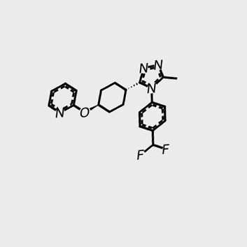 Cc1nnc([C@H]2CC[C@H](Oc3ccccn3)CC2)n1-c1ccc(C(F)F)cc1